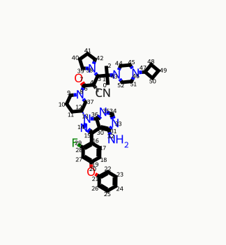 CC(C)(C(C(C#N)C(=O)N1CCC[C@@H](n2nc(-c3ccc(Oc4ccccc4)cc3F)c3c(N)ncnc32)C1)N1CCCC1)N1CCN(C2CCC2)CC1